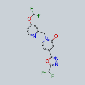 O=c1cc(-c2nnc(C(F)F)o2)ccn1Cc1cc(OC(F)F)ccn1